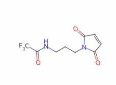 O=C1C=CC(=O)N1CCCNC(=O)C(F)(F)F